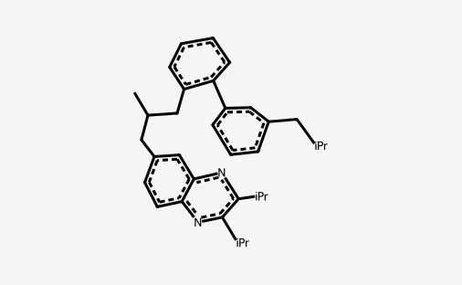 CC(C)Cc1cccc(-c2ccccc2CC(C)Cc2ccc3nc(C(C)C)c(C(C)C)nc3c2)c1